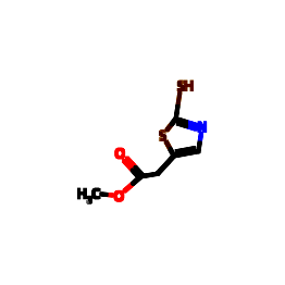 COC(=O)Cc1cnc(S)s1